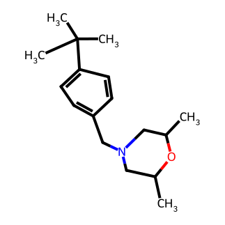 CC1CN(Cc2ccc(C(C)(C)C)cc2)CC(C)O1